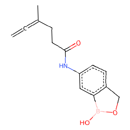 C=C=C(C)CCC(=O)Nc1ccc2c(c1)B(O)OC2